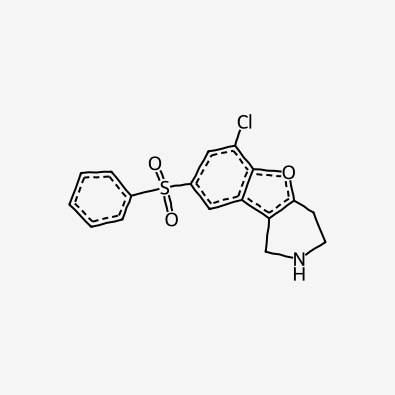 O=S(=O)(c1ccccc1)c1cc(Cl)c2oc3c(c2c1)CNCC3